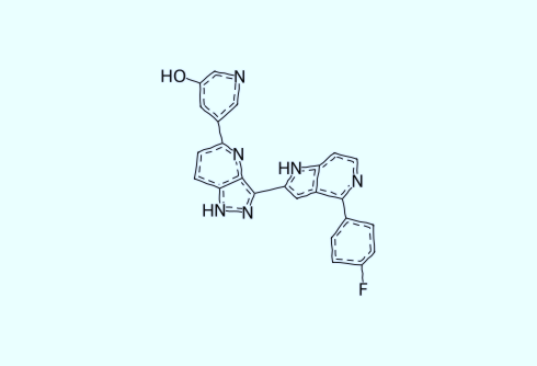 Oc1cncc(-c2ccc3[nH]nc(-c4cc5c(-c6ccc(F)cc6)nccc5[nH]4)c3n2)c1